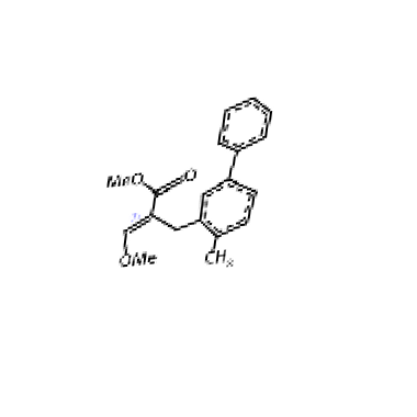 CO/C=C(\Cc1cc(-c2ccccc2)ccc1C)C(=O)OC